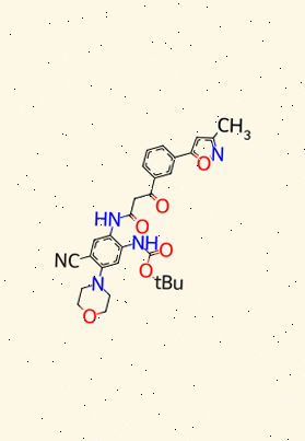 Cc1cc(-c2cccc(C(=O)CC(=O)Nc3cc(C#N)c(N4CCOCC4)cc3NC(=O)OC(C)(C)C)c2)on1